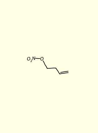 C=CCCO[N+](=O)[O-]